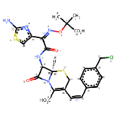 CC(C)(O/N=C(\C(=O)N[C@@H]1C(=O)N2C(C(=O)O)=C(/C=C\c3ccc(CCl)cc3)CS[C@H]12)c1csc(N)n1)C(=O)O